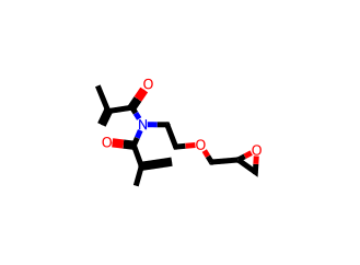 C=C(C)C(=O)N(CCOCC1CO1)C(=O)C(=C)C